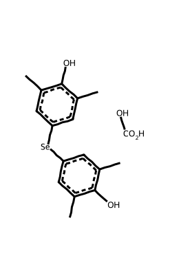 Cc1cc([Se]c2cc(C)c(O)c(C)c2)cc(C)c1O.O=C(O)O